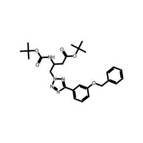 CC(C)(C)OC(=O)CC(Cn1nnc(-c2cccc(OCc3ccccc3)c2)n1)NC(=O)OC(C)(C)C